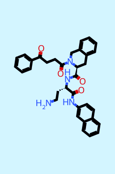 NCC[C@H](NC(=O)[C@@H]1Cc2ccccc2CN1C(=O)CCC(=O)c1ccccc1)C(=O)Nc1ccc2ccccc2c1